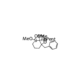 CCCCCOC1(Cc2ccccc2)CCC[Si](OC)(OC)C1(CCC)OC